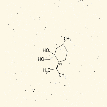 CC1CC[C@@H](C(C)C)C(O)(CO)C1